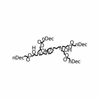 CCCCCCCCCCCC(=O)OCCCN(CCCN1CCN(CCCN(CC(O)COC(=O)CCCCCCCCCCC)CC(O)COC(=O)CCCCCCCCCCC)CC1)CC(O)COC(=O)CCCCCCCCCCC